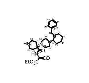 CCOC(=O)C(=C=O)NC(=O)C1(N2CCN(C3CCCCN3Cc3ccccc3)CC2)CCNCC1